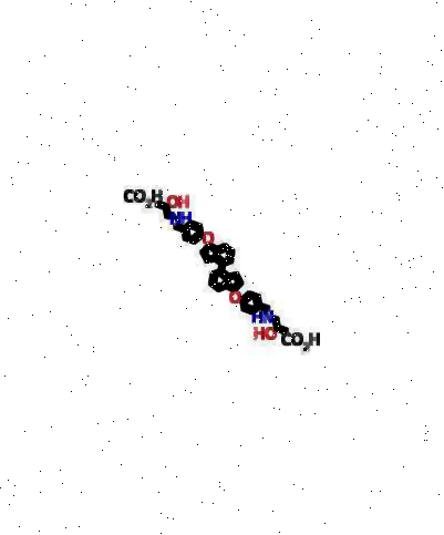 O=C(O)C[C@H](O)CNCc1ccc(OC2CCc3c(-c4cccc5c4CCC5Oc4ccc(CNC[C@@H](O)CC(=O)O)cc4)cccc32)cc1